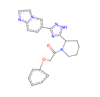 O=C(COc1ccccc1)N1CCCCC1c1nc(-c2ccc3nccn3c2)n[nH]1